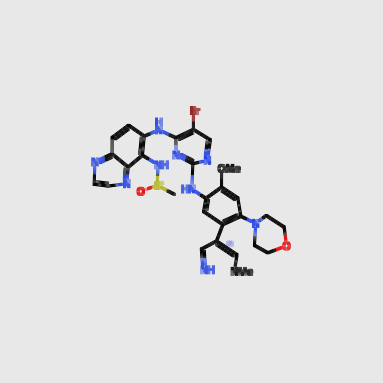 CN/C=C(\C=N)c1cc(Nc2ncc(Br)c(Nc3ccc4nccnc4c3N[S+](C)[O-])n2)c(OC)cc1N1CCOCC1